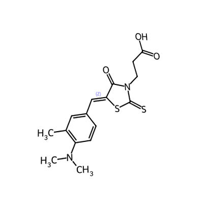 Cc1cc(/C=C2\SC(=S)N(CCC(=O)O)C2=O)ccc1N(C)C